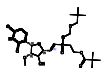 CO[C@H]1C(O)[C@@H](/C=C/P(=O)(CCOC(=O)C(C)(C)C)OCOCC(C)(C)C)O[C@H]1n1ccc(=O)[nH]c1=O